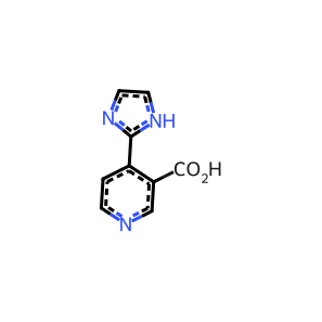 O=C(O)c1cnccc1-c1ncc[nH]1